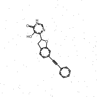 O=c1[nH]cnc(C2Cc3ccc(C#Cc4ccccc4)cc3O2)c1O